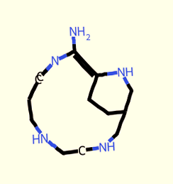 N/C1=C2\CCC(CNCCNCC3CN1C3)CN2